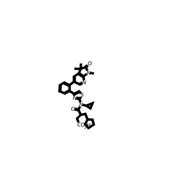 CN1C(=O)C(C)(C)c2cc(-c3ccccc3-c3csc(N(C(=O)C(CC(=O)O)CC4CCCC4)C4CC4)n3)cnc21